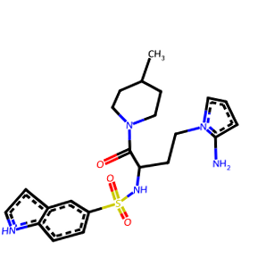 CC1CCN(C(=O)C(CCn2cccc2N)NS(=O)(=O)c2ccc3[nH]ccc3c2)CC1